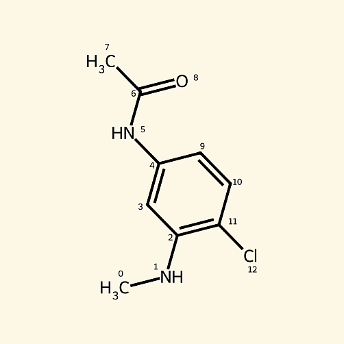 CNc1cc(NC(C)=O)ccc1Cl